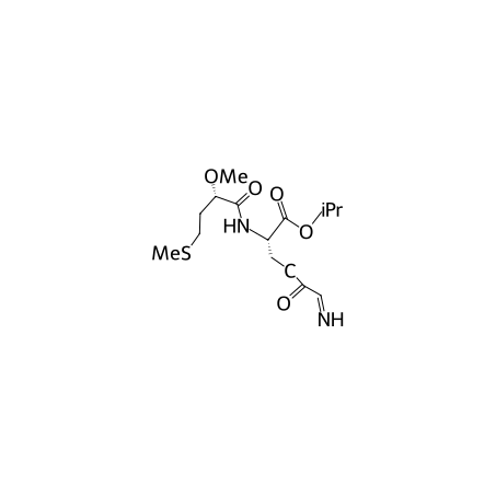 CO[C@@H](CCSC)C(=O)N[C@@H](CCC(=O)C=N)C(=O)OC(C)C